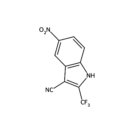 N#Cc1c(C(F)(F)F)[nH]c2ccc([N+](=O)[O-])cc12